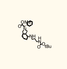 COC(=O)[C@H](c1ccccc1)N1Cc2cccc(NCCCNC(=O)OC(C)(C)C)c2C1